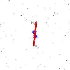 CCCCCCCCCCCCCCCCCCNC(=O)NCCCOCCNC(=O)NCCCCCCCCCCCCCCCCCC